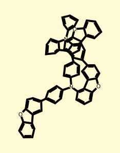 c1ccc(-n2c3ccccc3c3cc(-c4ccc5oc6cccc(N(c7ccc(-c8ccc9oc%10ccccc%10c9c8)cc7)c7ccc(-c8ccc9oc%10ccccc%10c9c8)cc7)c6c5c4)ccc32)cc1